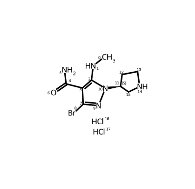 CNc1c(C(N)=O)c(Br)nn1[C@H]1CCNC1.Cl.Cl